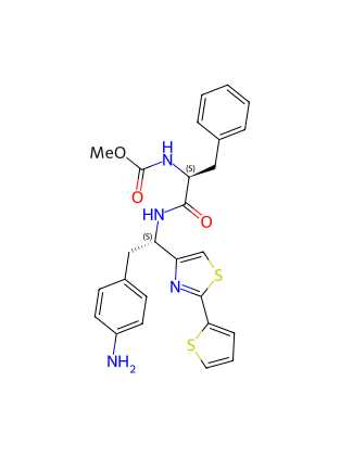 COC(=O)N[C@@H](Cc1ccccc1)C(=O)N[C@@H](Cc1ccc(N)cc1)c1csc(-c2cccs2)n1